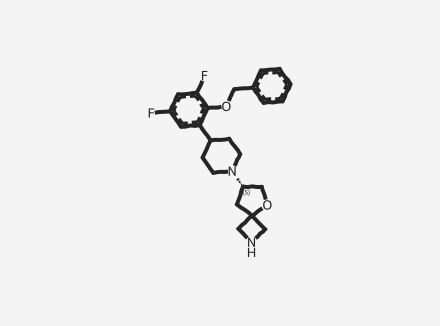 Fc1cc(F)c(OCc2ccccc2)c(C2CCN([C@@H]3COC4(CNC4)C3)CC2)c1